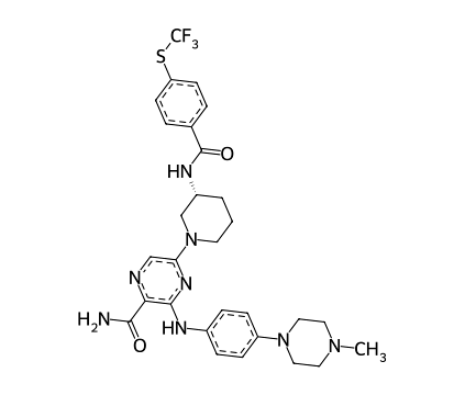 CN1CCN(c2ccc(Nc3nc(N4CCC[C@@H](NC(=O)c5ccc(SC(F)(F)F)cc5)C4)cnc3C(N)=O)cc2)CC1